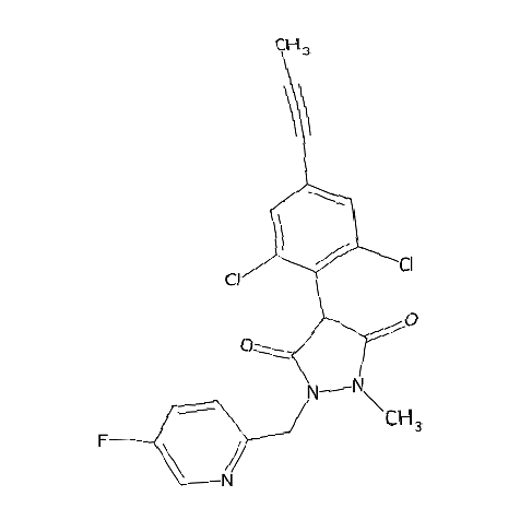 CC#Cc1cc(Cl)c(C2C(=O)N(C)N(Cc3ccc(F)cn3)C2=O)c(Cl)c1